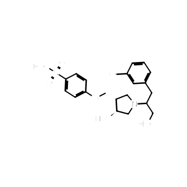 C[C@@H]1CN(C(CO)Cc2cccc(Cl)c2)C[C@H]1COc1ccc(S(C)(=O)=O)cc1